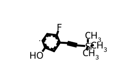 C[Si](C)(C)C#Cc1cc(O)[c]cc1F